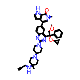 C#CCNC1(C)CCN(C2CCN(c3nc(C(COC)(OC4CC4)c4ccccc4)c4cc(-c5cn(C)c(=O)c6[nH]ccc56)ccc4n3)CC2)CC1